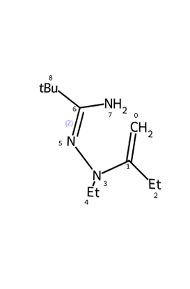 C=C(CC)N(CC)/N=C(\N)C(C)(C)C